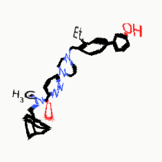 CCc1cc(-c2cccc(O)c2)ccc1CN1CCN(c2ccc(C(=O)N(C)CC34CC5CC(CC(C5)C3)C4)nn2)CC1